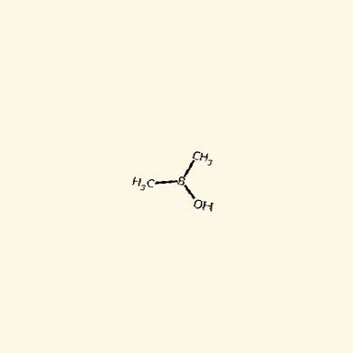 CB(C)O